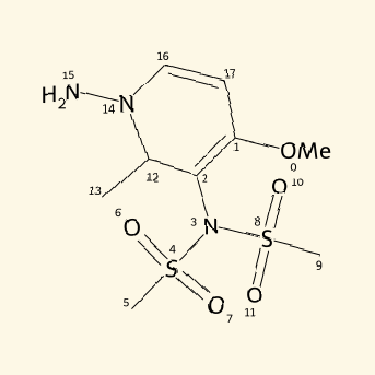 COC1=C(N(S(C)(=O)=O)S(C)(=O)=O)C(C)N(N)C=C1